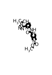 CCOC(=O)N1Cc2cnc(C(=O)Nc3cccc(-c4nncn4C(C)C)n3)cc2C1